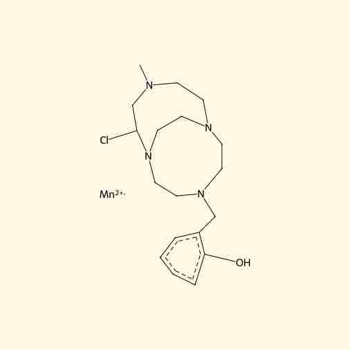 CN1CCN2CCN(Cc3ccccc3O)CCN(CC2)C(Cl)C1.[Mn+2]